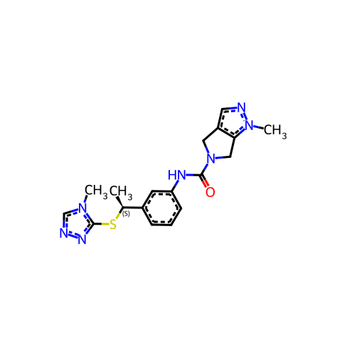 C[C@H](Sc1nncn1C)c1cccc(NC(=O)N2Cc3cnn(C)c3C2)c1